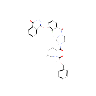 O=C(c1cccc(Oc2n[nH]c(=O)c3ccccc23)c1F)N1CCN(C(=O)C2CCCCN2C(=O)OCc2ccccc2)CC1